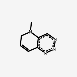 CN1CC=Cc2nnncc21